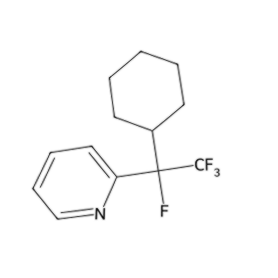 FC(F)(F)C(F)(c1ccccn1)C1CCCCC1